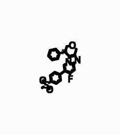 CS(=O)(=O)c1ccc(-c2cn3c4c(nc3cc2F)COC[C@@H]4c2ccccc2)cc1